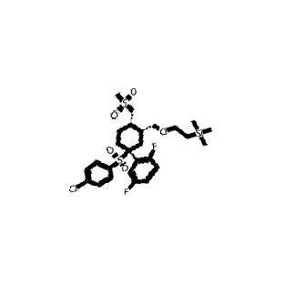 C[Si](C)(C)CCOC[C@@H]1C[C@](c2cc(F)ccc2F)(S(=O)(=O)c2ccc(Cl)cc2)CC[C@@H]1CS(C)(=O)=O